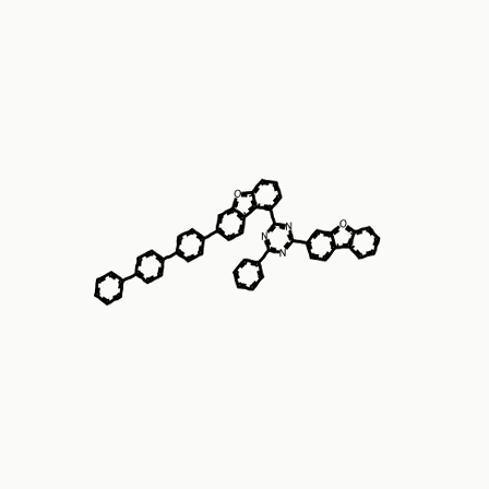 c1ccc(-c2ccc(-c3ccc(-c4ccc5c(c4)oc4cccc(-c6nc(-c7ccccc7)nc(-c7ccc8c(c7)oc7ccccc78)n6)c45)cc3)cc2)cc1